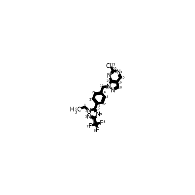 CCn1nc(C(F)(F)F)nc1-c1ccc(Cn2ncc3cnc(Cl)nc32)cc1